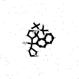 CC(C)(C)P(Cc1c(C(P)(C2CCNC2)C2CCNC2)ccc2ccccc12)C(C)(C)C